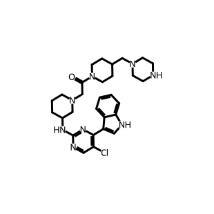 O=C(CN1CCCC(Nc2ncc(Cl)c(-c3c[nH]c4ccccc34)n2)C1)N1CCC(CN2CCNCC2)CC1